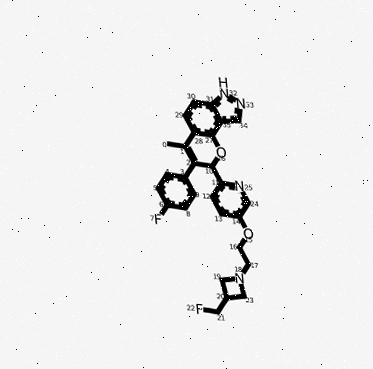 CC1=C(c2ccc(F)cc2)C(c2ccc(OCCN3CC(CF)C3)cn2)Oc2c1ccc1[nH]ncc21